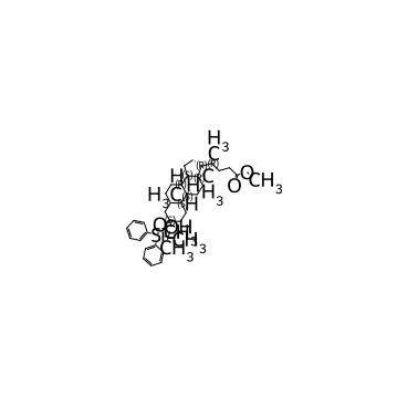 COC(=O)CC[C@@H](C)[C@H]1CC[C@H]2[C@@H]3CCC4C[C@@](O)(O[Si](c5ccccc5)(c5ccccc5)C(C)(C)C)CC[C@]4(C)[C@H]3CC[C@]12C